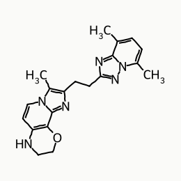 Cc1ccc(C)n2nc(CCc3nc4c5c(ccn4c3C)NCCO5)nc12